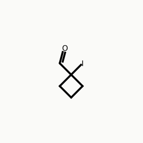 O=CC1(I)CCC1